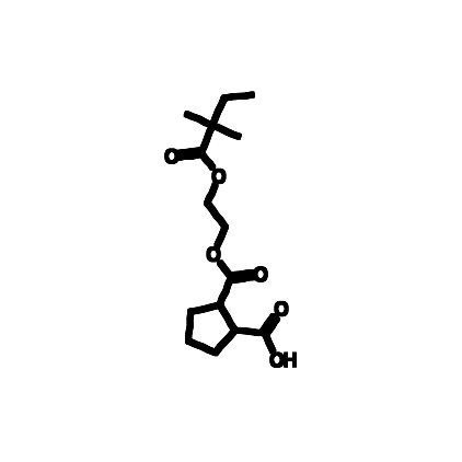 CCC(C)(C)C(=O)OCCOC(=O)C1CCCC1C(=O)O